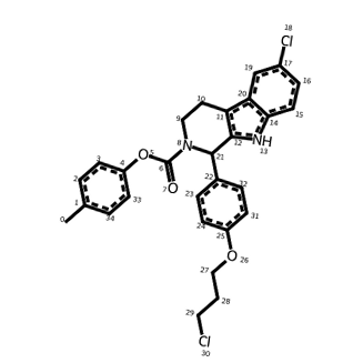 Cc1ccc(OC(=O)N2CCc3c([nH]c4ccc(Cl)cc34)C2c2ccc(OCCCCl)cc2)cc1